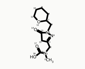 CN(CC1=NN(CC2CCCCO2)C(=O)C1)C(=O)O